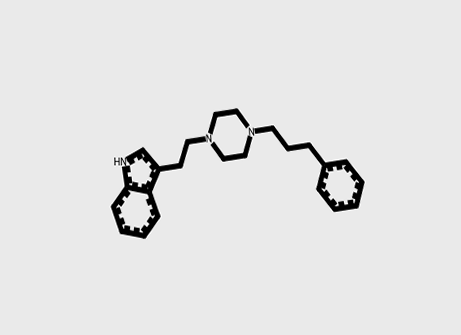 c1ccc(CCCN2CCN(CCc3c[nH]c4ccccc34)CC2)cc1